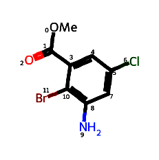 COC(=O)c1cc(Cl)cc(N)c1Br